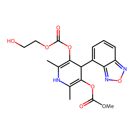 COC(=O)OC1=C(C)NC(C)=C(OC(=O)OCCO)C1c1cccc2nonc12